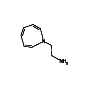 NCCN1C=CC=CC=C1